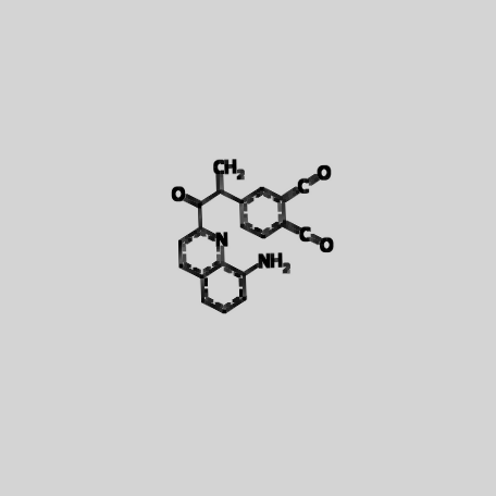 C=C(C(=O)c1ccc2cccc(N)c2n1)c1ccc(=C=O)c(=C=O)c1